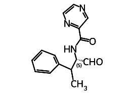 CC(c1ccccc1)[C@@H](C=O)NC(=O)c1cnccn1